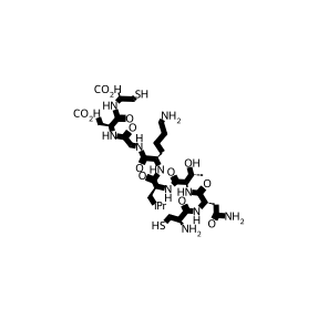 CC(C)C[C@H](NC(=O)[C@@H](NC(=O)[C@H](CC(N)=O)NC(=O)[C@@H](N)CS)[C@@H](C)O)C(=O)N[C@@H](CCCCN)C(=O)NCC(=O)N[C@@H](CC(=O)O)C(=O)N[C@@H](CS)C(=O)O